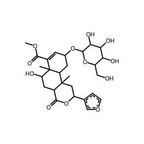 COC(=O)C1=CC(OC2OC(CO)C(O)C(O)C2O)CC2C3(C)CC(c4ccoc4)OC(=O)C3CC(O)C12C